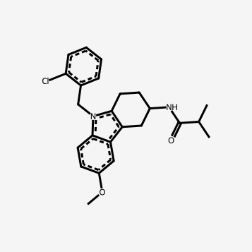 COc1ccc2c(c1)c1c(n2Cc2ccccc2Cl)CCC(NC(=O)C(C)C)C1